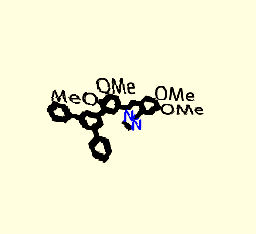 COc1cc2c(cc1OC)C1=NCCN1C(c1cc(OC)c(OC)c(-c3cc(-c4ccccc4)cc(-c4ccccc4)c3)c1)=C2